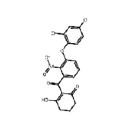 O=C1CCCC(O)=C1C(=O)c1cccc(Oc2ccc(Cl)cc2Cl)c1[N+](=O)[O-]